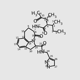 CC[C@H](C)[C@@H](C(=O)N[C@H]1CCc2cccc3c2N(C1=O)C(C(=O)NCC1=CCN=N1)C3)N(C)C(C)=O